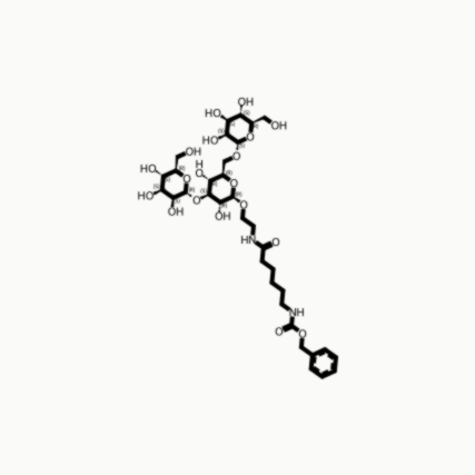 O=C(CCCCCNC(=O)OCc1ccccc1)NCCO[C@@H]1O[C@H](CO[C@H]2O[C@H](CO)[C@@H](O)[C@H](O)[C@@H]2O)[C@@H](O)[C@H](O[C@H]2O[C@H](CO)[C@@H](O)[C@H](O)[C@@H]2O)[C@H]1O